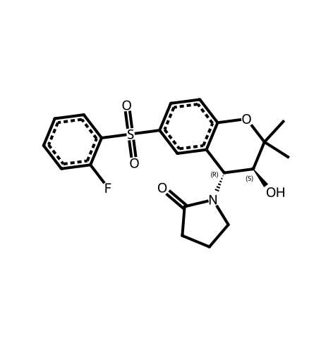 CC1(C)Oc2ccc(S(=O)(=O)c3ccccc3F)cc2[C@@H](N2CCCC2=O)[C@@H]1O